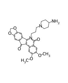 COc1cc2c3c(n(CCCN4CCC(N)CC4)c(=O)c2cc1OC)-c1cc2c(cc1C3=O)OCO2